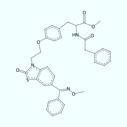 CON=C(c1ccccc1)c1ccc2c(c1)sc(=O)n2CCOc1ccc(CC(NC(=O)Cc2ccccc2)C(=O)OC)cc1